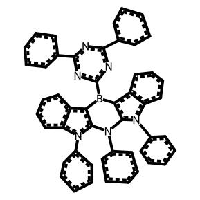 c1ccc(-c2nc(B3c4c(n(-c5ccccc5)c5ccccc45)N(c4ccccc4)c4c3c3ccccc3n4-c3ccccc3)nc(-c3ccccc3)n2)cc1